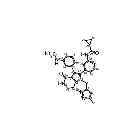 Cc1cc(Cn2c3c(c(-c4cccc(NC(=O)O)c4)c2-c2ccnc(NC(=O)C4CC4)c2)C(=O)NCC3)n(C)n1